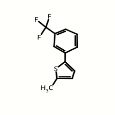 Cc1ccc(-c2cccc(C(F)(F)F)c2)s1